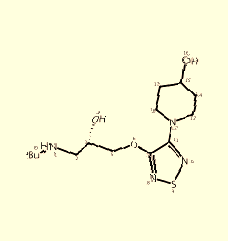 CC(C)(C)NC[C@H](O)COc1nsnc1N1CCC(O)CC1